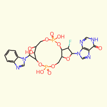 O=c1[nH]cnc2c1ncn2C1OC2COP(=O)(O)OC3C(O)C(COP(=O)(O)OC2C1F)OC3n1cnc2ccccc21